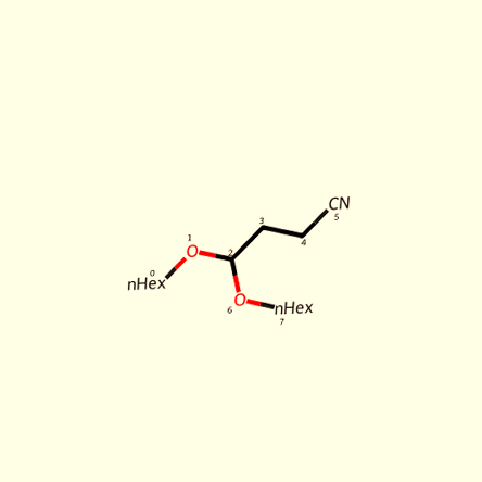 CCCCCCOC(CCC#N)OCCCCCC